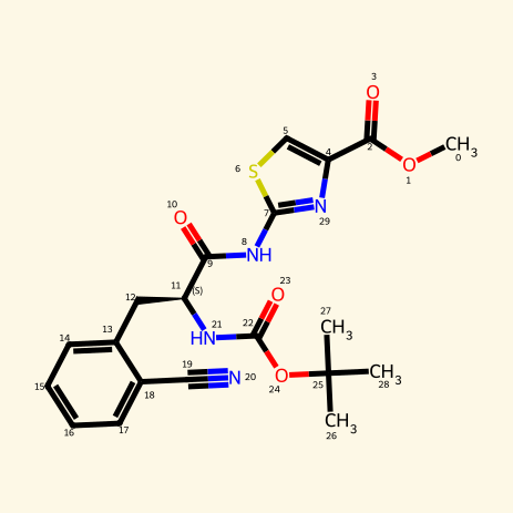 COC(=O)c1csc(NC(=O)[C@H](Cc2ccccc2C#N)NC(=O)OC(C)(C)C)n1